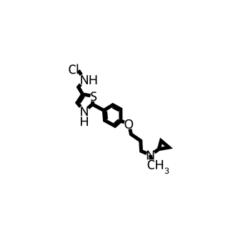 CN(CCCOc1ccc(C2NC=C(CNCl)S2)cc1)C1CC1